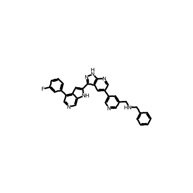 Fc1cccc(-c2cncc3[nH]c(-c4n[nH]c5ncc(-c6cncc(CNCc7ccccc7)c6)cc45)cc23)c1